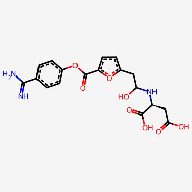 N=C(N)c1ccc(OC(=O)c2ccc(CC(O)N[C@@H](CC(=O)O)C(=O)O)o2)cc1